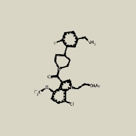 COCCn1cc(C(=O)N2CCC(c3cc(CN)ccc3F)CC2)c2c(OC(F)(F)F)ccc(Cl)c21